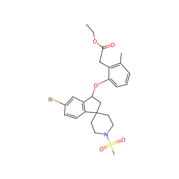 CCOC(=O)Cc1c(C)cccc1OC1CC2(CCN(S(C)(=O)=O)CC2)c2ccc(Br)cc21